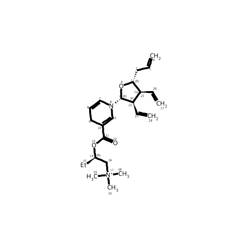 C=CC[C@H]1O[C@@H](N2C=CCC(C(=O)O[C@H](CC)C[N+](C)(C)C)=C2)[C@H](C=C)[C@@H]1C=C